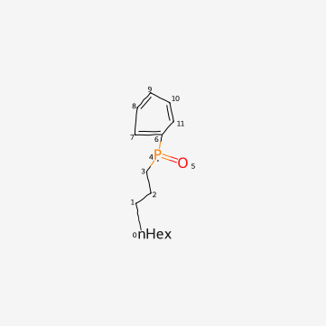 CCCCCCCCC[P](=O)c1ccccc1